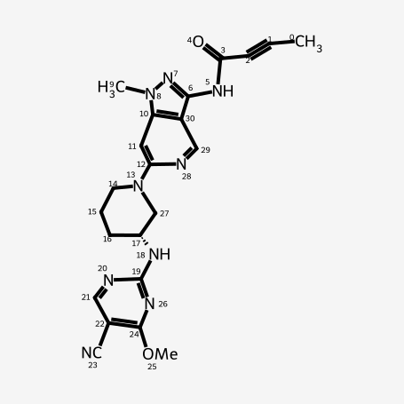 CC#CC(=O)Nc1nn(C)c2cc(N3CCC[C@@H](Nc4ncc(C#N)c(OC)n4)C3)ncc12